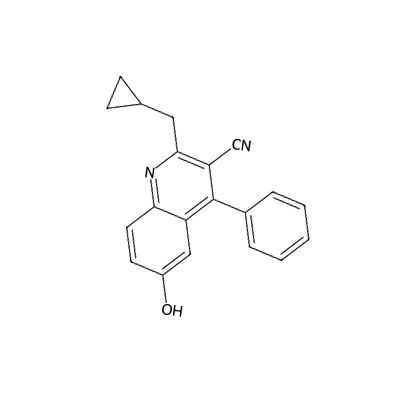 N#Cc1c(CC2CC2)nc2ccc(O)cc2c1-c1ccccc1